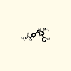 NNC(=O)c1ccc(-c2cnn3c(N)cc(C4CCCNC4)nc23)cc1